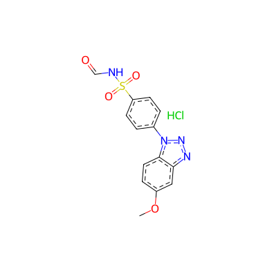 COc1ccc2c(c1)nnn2-c1ccc(S(=O)(=O)NC=O)cc1.Cl